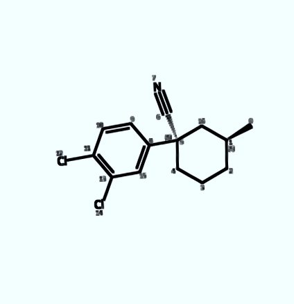 C[C@H]1CCC[C@@](C#N)(c2ccc(Cl)c(Cl)c2)C1